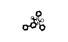 O=c1c2cc(-c3ccccc3)ccc2n(-c2ccccc2)c(=O)n1-c1ccccc1